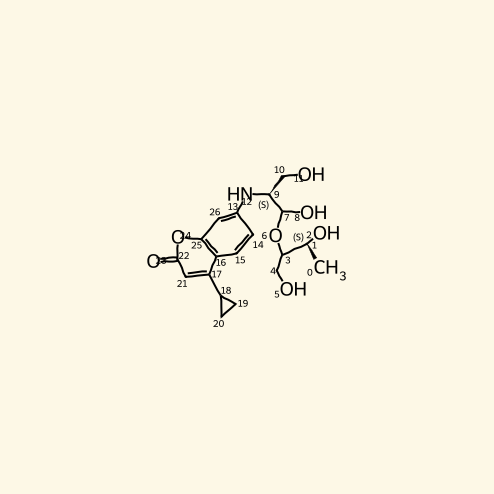 C[C@H](O)C(CO)OC(O)[C@H](CO)Nc1ccc2c(C3CC3)cc(=O)oc2c1